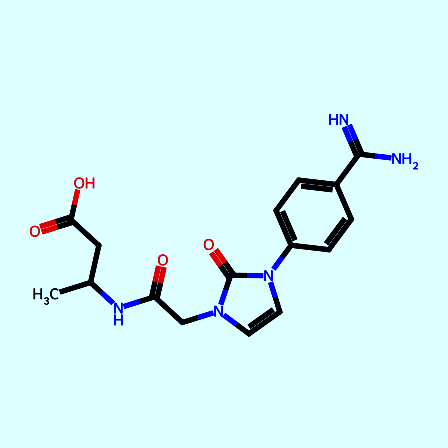 CC(CC(=O)O)NC(=O)Cn1ccn(-c2ccc(C(=N)N)cc2)c1=O